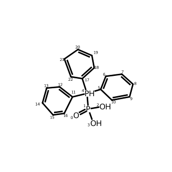 O=P(O)(O)[PH](c1ccccc1)(c1ccccc1)c1ccccc1